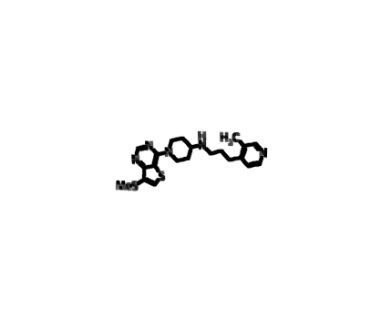 CSc1csc2c(N3CCC(NCCCc4ccncc4C)CC3)ncnc12